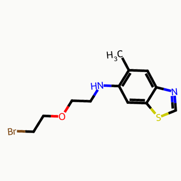 Cc1cc2ncsc2cc1NCCOCCBr